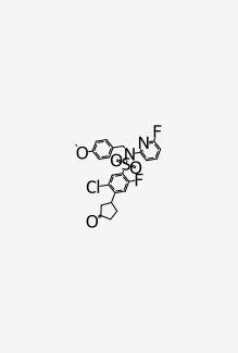 COc1ccc(CN(c2cccc(F)n2)S(=O)(=O)c2cc(Cl)c(C3CCC(=O)C3)cc2F)cc1